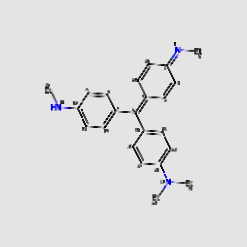 CCN=C1C=CC(=C(c2ccc(NCC)cc2)c2ccc(N(CC)CC)cc2)C=C1